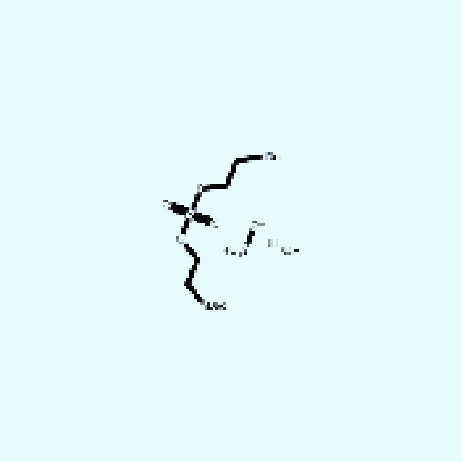 CCCCCCCCCCCCOS(=O)(=O)OCCCCCCCCCCCC.O=S(=O)(O)O.[LiH].[NaH]